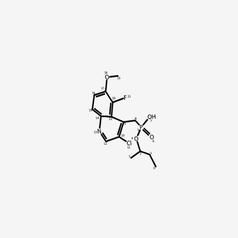 CCC(C)OP(=O)(O)Cc1c(Cl)cnc2ccc(OC)c(F)c12